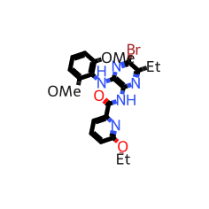 CCOc1cccc(C(=O)Nc2nc(CC)c(Br)nc2Nc2c(OC)cccc2OC)n1